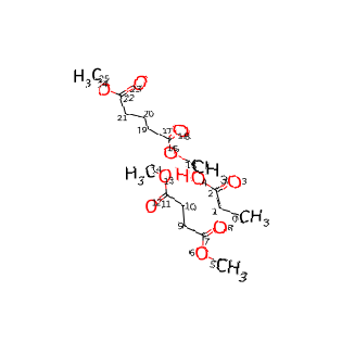 CCC(=O)O.COC(=O)CCC(=O)OC.COC(=O)CCCC(=O)OC